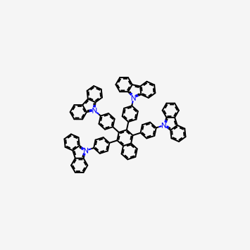 c1ccc2c(-c3ccc(-n4c5ccccc5c5ccccc54)cc3)c(-c3ccc(-n4c5ccccc5c5ccccc54)cc3)c(-c3ccc(-n4c5ccccc5c5ccccc54)cc3)c(-c3ccc(-n4c5ccccc5c5ccccc54)cc3)c2c1